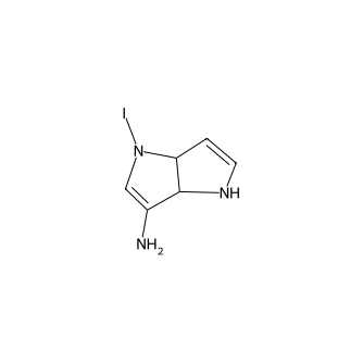 NC1=CN(I)C2C=CNC12